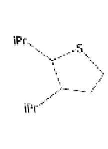 CC(C)C1CCSC1C(C)C